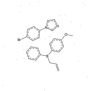 Brc1ccc(-n2ccnc2)cc1.C=CCB(c1ccccc1)c1ccc(OC)cc1